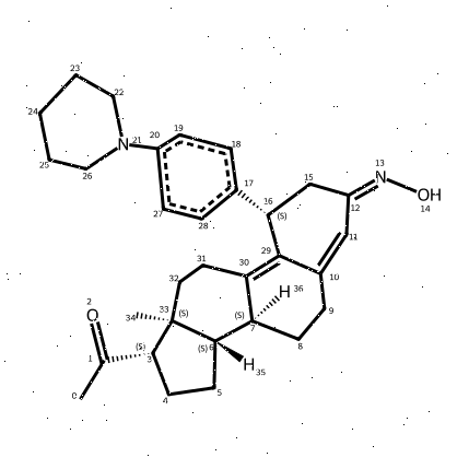 CC(=O)[C@H]1CC[C@H]2[C@@H]3CCC4=CC(=NO)C[C@@H](c5ccc(N6CCCCC6)cc5)C4=C3CC[C@]12C